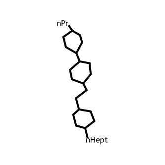 CCCCCCCC1CCC(CCC2CCC(C3CCC(CCC)CC3)CC2)CC1